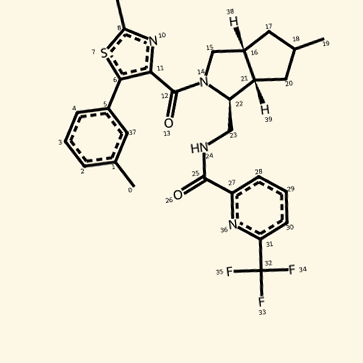 Cc1cccc(-c2sc(C)nc2C(=O)N2C[C@@H]3CC(C)C[C@@H]3[C@H]2CNC(=O)c2cccc(C(F)(F)F)n2)c1